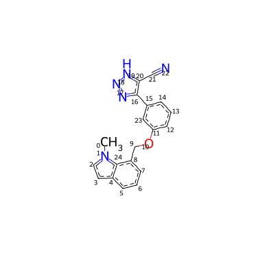 Cn1ccc2cccc(COc3cccc(-c4nn[nH]c4C#N)c3)c21